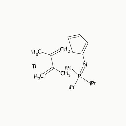 C=C(C)C(=C)C.CC(C)P(=NC1=CC=CC1)(C(C)C)C(C)C.[Ti]